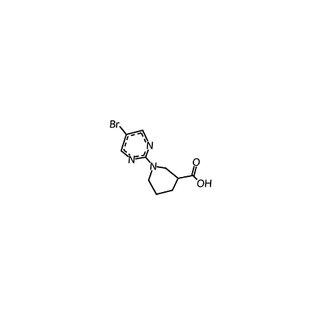 O=C(O)C1CCCN(c2ncc(Br)cn2)C1